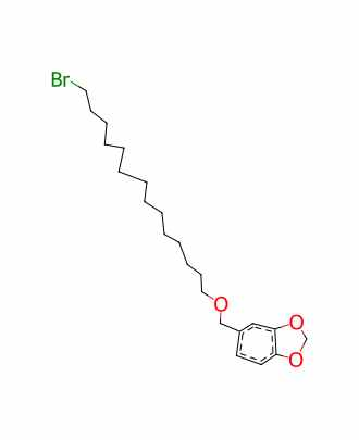 BrCCCCCCCCCCCCCCOCc1ccc2c(c1)OCO2